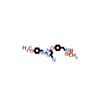 COc1ccc(CNc2nc(C#N)cc(Oc3ccc(CCNS(C)(=O)=O)cc3)n2)cc1